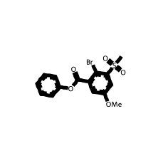 COc1cc(C(=O)Oc2ccccc2)c(Br)c(S(C)(=O)=O)c1